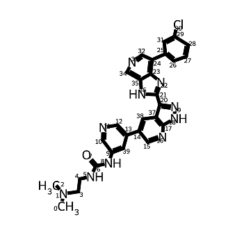 CN(C)CCNC(=O)Nc1cncc(-c2cnc3[nH]nc(-c4nc5c(-c6cccc(Cl)c6)cncc5[nH]4)c3c2)c1